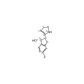 Cl.Fc1ccc2c(c1)CC(C1=NCCN1)O2